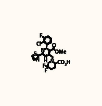 COC(=O)C1=C(CN2CC(F)(F)CC[C@@H]2C(=O)O)NC(c2nccs2)=N[C@H]1c1cccc(F)c1Cl